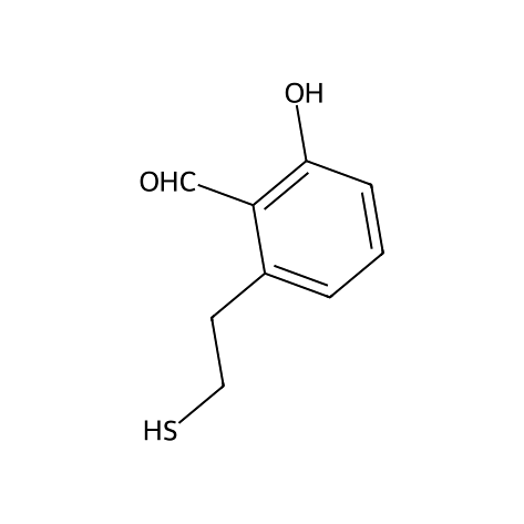 O=Cc1c(O)cccc1CCS